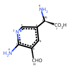 Nc1ncc([C@@H](N)C(=O)O)cc1C=O